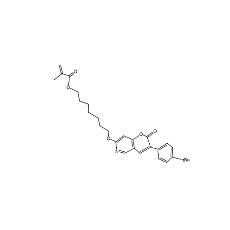 C=C(C)C(=O)OCCCCCCCOc1cc2oc(=O)c(-c3ccc(CCCC)cc3)cc2cn1